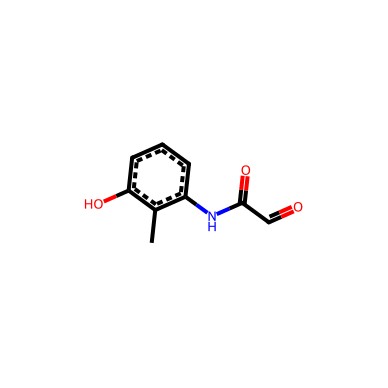 Cc1c(O)cccc1NC(=O)C=O